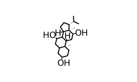 CC(C)[C@H]1CC[C@H]2C3[C@H](O)CC4C[C@H](O)CC[C@]4(C)[C@H]3C[C@H](O)[C@]12C